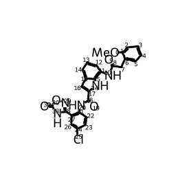 COc1ccccc1CC(=O)Nc1cccc2cc(C(=O)Nc3ccc(Cl)cc3-c3noc(=O)[nH]3)[nH]c12